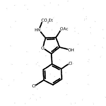 CCOC(=O)Nc1oc(-c2cc(Cl)ccc2Cl)c(O)c1OC(C)=O